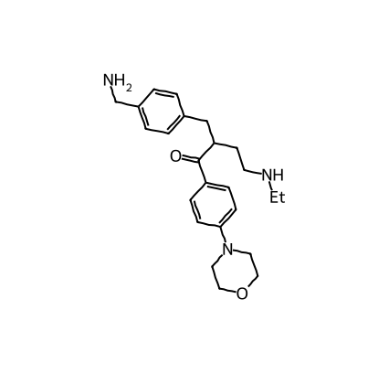 CCNCCC(Cc1ccc(CN)cc1)C(=O)c1ccc(N2CCOCC2)cc1